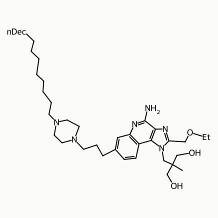 CCCCCCCCCCCCCCCCCCN1CCN(CCCc2ccc3c(c2)nc(N)c2nc(COCC)n(CC(C)(CO)CO)c23)CC1